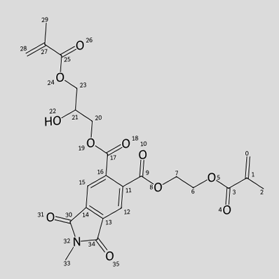 C=C(C)C(=O)OCCOC(=O)c1cc2c(cc1C(=O)OCC(O)COC(=O)C(=C)C)C(=O)N(C)C2=O